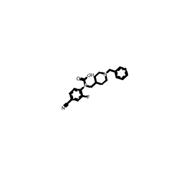 N#Cc1ccc(N(CC2CCN(Cc3ccccc3)CC2)C(=O)O)c(F)c1